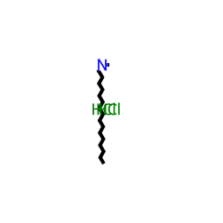 CCCCCCCCCCCCCCCCN(C)C.Cl.Cl